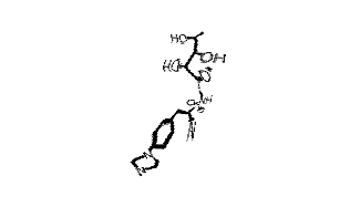 CO[C@H](CNS(=O)(=O)/C(C#N)=C/c1ccc(N2CCN(C)CC2)cc1)[C@@H](O)[C@H](O)[C@H](C)O